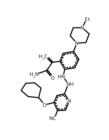 C=C(C(N)=O)c1cc(N2CCN(CC)CC2)ccc1NNc1cc(OC2CCCCC2)c(C#N)cn1